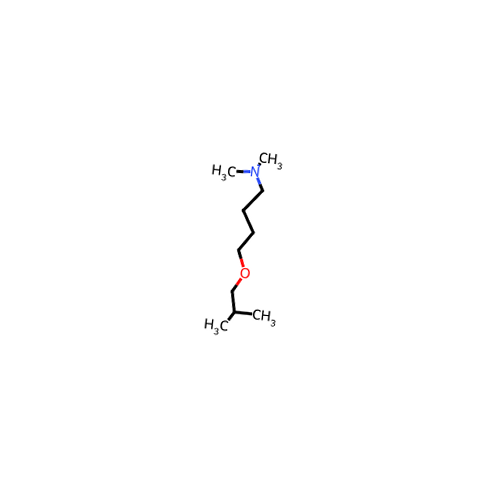 CC(C)COCCCCN(C)C